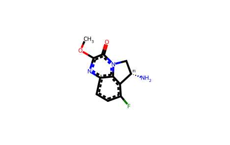 COc1nc2ccc(F)c3c2n(c1=O)C[C@@H]3N